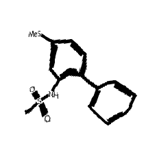 CSc1ccc(-c2ccccc2)c(NS(C)(=O)=O)c1